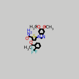 COc1cc2ncn(-c3cc(O[C@H](C)c4ccccc4C(F)(F)F)c(C(N)=O)s3)c2cc1OC